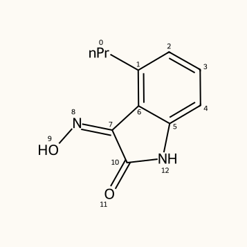 CCCc1cccc2c1C(=NO)C(=O)N2